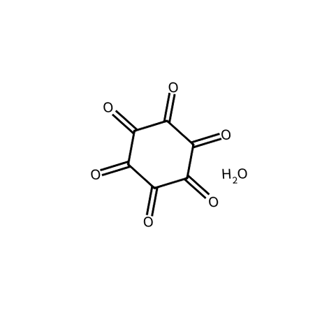 O.O=C1C(=O)C(=O)C(=O)C(=O)C1=O